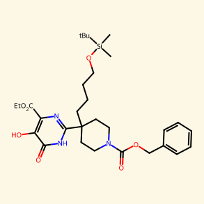 CCOC(=O)c1nc(C2(CCCCO[Si](C)(C)C(C)(C)C)CCN(C(=O)OCc3ccccc3)CC2)[nH]c(=O)c1O